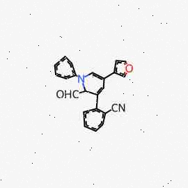 N#Cc1ccccc1C1=CC(c2ccoc2)=CN(c2ccccc2)C1C=O